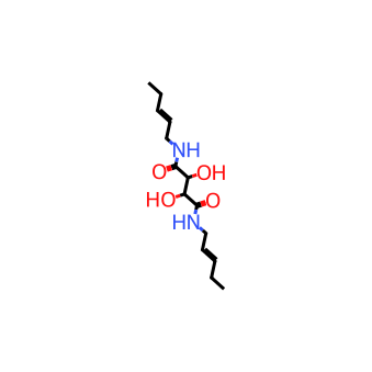 CCC=CCNC(=O)C(O)C(O)C(=O)NCC=CCC